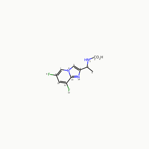 CC(NC(=O)O)c1cn2cc(F)cc(F)c2n1